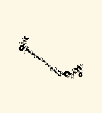 CC(=O)c1c(C)c2cnc(Nc3ccc(N4CCN(CC(=O)NCCOCCOCCOCCOCCOCCC(=O)Nc5ccccc5C(=O)Nc5nc(C)c(C)s5)CC4)cn3)nc2n(C2CCCC2)c1=O